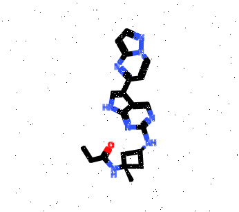 CCC(=O)N[C@]1(C)C[C@H](Nc2ncc3c(-c4ccn5nccc5n4)c[nH]c3n2)C1